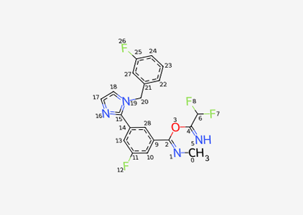 C/N=C(\OC(=N)C(F)F)c1cc(F)cc(-c2nccn2Cc2cccc(F)c2)c1